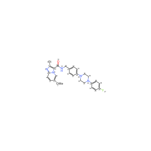 CCc1nc2ccc(OC)cn2c1C(=O)NCc1ccc(N2CCN(c3ccc(F)cc3)CC2)cc1